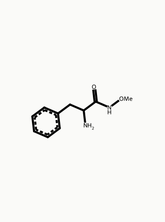 CONC(=O)C(N)Cc1ccccc1